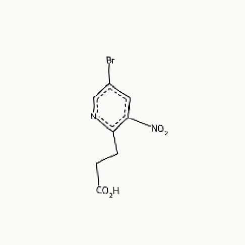 O=C(O)CCc1ncc(Br)cc1[N+](=O)[O-]